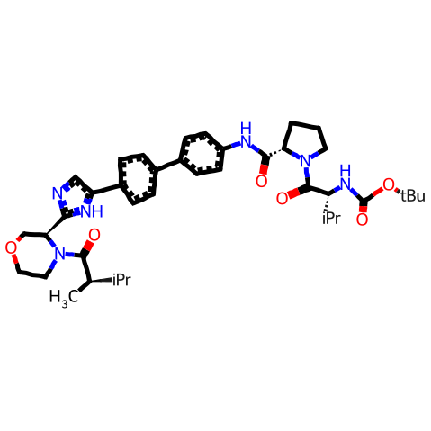 CC(C)[C@@H](C)C(=O)N1CCOC[C@H]1c1ncc(-c2ccc(-c3ccc(NC(=O)[C@@H]4CCCN4C(=O)[C@H](NC(=O)OC(C)(C)C)C(C)C)cc3)cc2)[nH]1